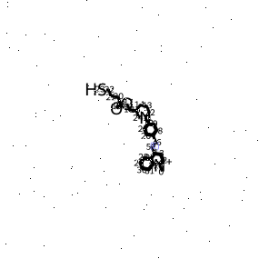 C[n+]1ccc(/C=C/c2ccc(N3CCCC(COC(=O)CCCS)C3)cc2)c2ccccc21